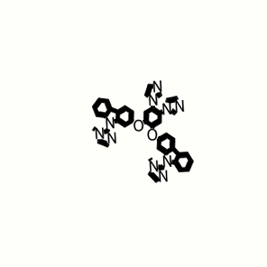 Cn1ccnc1-n1c2ccccc2c2ccc(Oc3cc(-n4ccnc4)c(-n4ccnc4)cc3Oc3ccc4c5ccccc5n(-c5nccn5C)c4c3)cc21